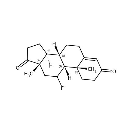 C[C@]12CCC(=O)C=C1CC[C@@H]1[C@H]2C(F)C[C@]2(C)C(=O)CC[C@@H]12